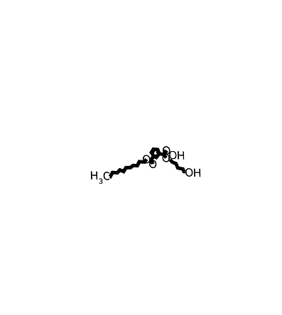 CCCCCCCCCCCCOC(=O)c1cccc(C(=O)OC(O)CCCCCO)c1